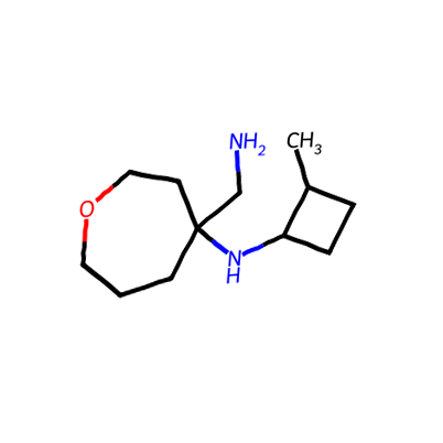 CC1CCC1NC1(CN)CCCOCC1